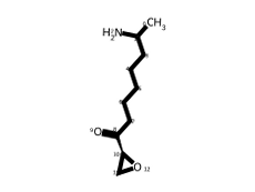 CC(N)CCCCCC(=O)[C@@H]1CO1